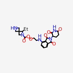 CCC1N(C(=O)OOCCNc2cccc3c2C(=O)N(C2CCC(=O)NC2=O)C3=O)CC12CNC2